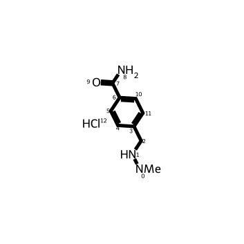 CNNCc1ccc(C(N)=O)cc1.Cl